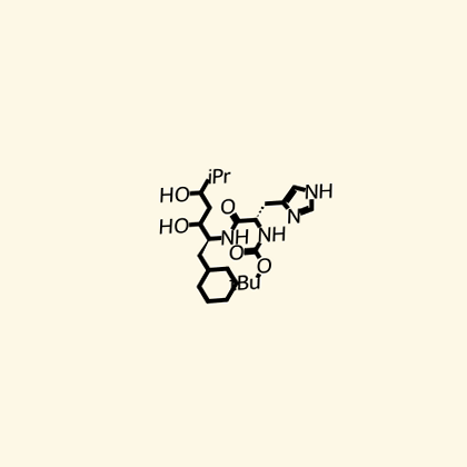 CC(C)C(O)CC(O)[C@H](CC1CCCCC1)NC(=O)[C@H](Cc1c[nH]cn1)NC(=O)OC(C)(C)C